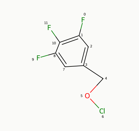 Fc1cc(COCl)cc(F)c1F